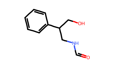 O=CNCC(CO)c1ccccc1